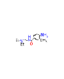 CCN(CC)CCNC(=O)c1ccc(N)c(C)c1